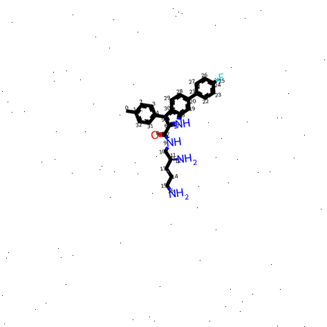 Cc1ccc(-c2c(C(=O)NC[C@@H](N)CCCN)[nH]c3cc(-c4ccc(F)cc4)ccc23)cc1